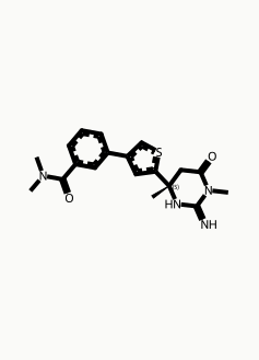 CN(C)C(=O)c1cccc(-c2csc([C@]3(C)CC(=O)N(C)C(=N)N3)c2)c1